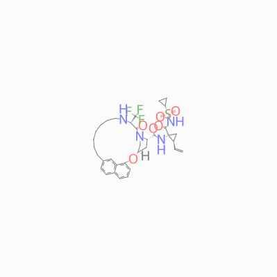 C=C[C@@H]1C[C@]1(NC(=O)[C@@H]1C[C@@H]2CN1C(=O)[C@H](C(F)(F)F)NCCCCCCCc1ccc3cccc(c3c1)O2)C(=O)NS(=O)(=O)C1CC1